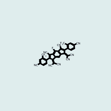 N#CC(C#N)=C1C(c2ccc(C#N)cc2C(F)(F)F)=C(C#N)c2c1cc1c(c2F)C(C#N)=C(c2ccc(C#N)cc2C(F)(F)F)C1=C(C#N)C#N